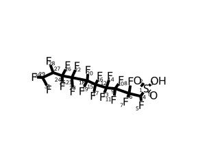 O=S(=O)(O)C(F)C(F)(F)C(F)(F)C(F)(F)C(F)(F)C(F)(F)C(F)(F)C(F)(F)C(F)C(F)F